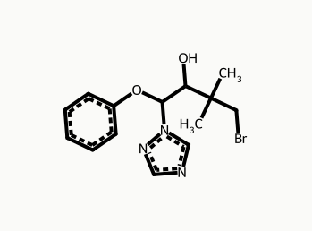 CC(C)(CBr)C(O)C(Oc1ccccc1)n1cncn1